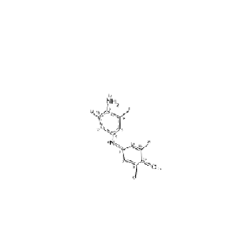 CC1=CC(=Nc2cc(C)c(N)c(C)c2)C=C(C)C1=O